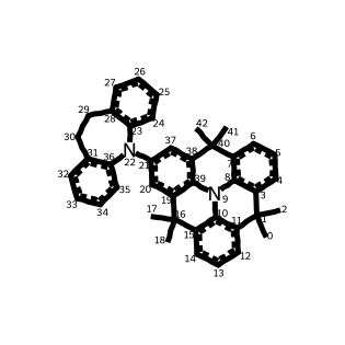 CC1(C)c2cccc3c2N2c4c1cccc4C(C)(C)c1cc(N4c5ccccc5CCc5ccccc54)cc(c12)C3(C)C